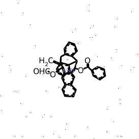 C=C1/C(OC=O)=c2/cc3ccccc3c/c2=C(\OC(=O)c2ccccc2)C2c3ccccc3C1c1ccccc12